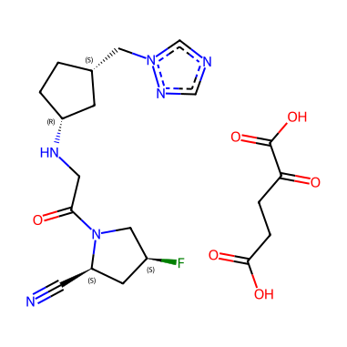 N#C[C@@H]1C[C@H](F)CN1C(=O)CN[C@@H]1CC[C@H](Cn2cncn2)C1.O=C(O)CCC(=O)C(=O)O